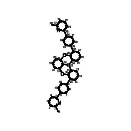 Cc1cccc(-c2ccc(-c3cccc4c3Oc3cccc5c3B4c3cccc(-c4ccc(-c6cccc(C)n6)cc4)c3O5)cc2)n1